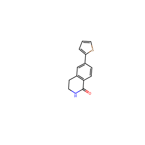 O=C1NCCc2cc(-c3cccs3)ccc21